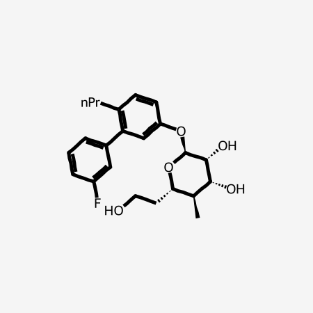 CCCc1ccc(O[C@@H]2O[C@@H](CCO)[C@H](C)[C@@H](O)[C@H]2O)cc1-c1cccc(F)c1